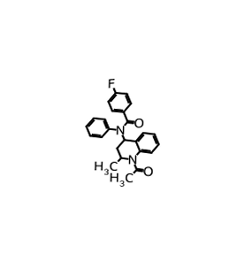 CC(=O)N1c2ccccc2C(N(C(=O)c2ccc(F)cc2)c2ccccc2)CC1C